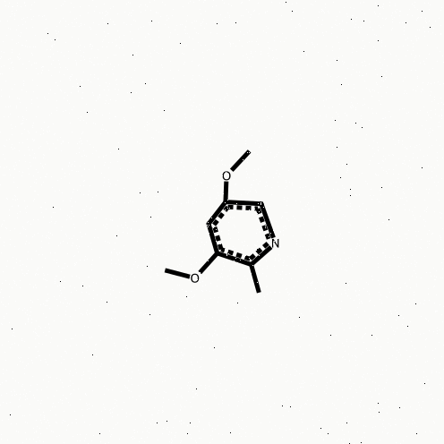 COc1cnc(C)c(OC)c1